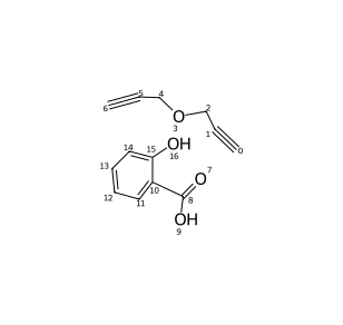 C#CCOCC#C.O=C(O)c1ccccc1O